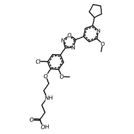 COc1cc(-c2nc(-c3cc(Cl)c(OCCNCCC(=O)O)c(OC)c3)no2)cc(C2CCCC2)n1